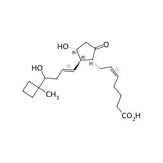 CC1(C(O)C/C=C/[C@H]2[C@H](O)CC(=O)[C@@H]2C/C=C\CCCC(=O)O)CCC1